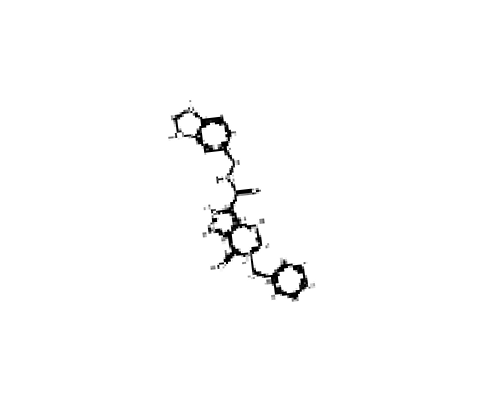 O=C(NCc1ccc2c(c1)OCO2)c1snc2c(=O)n(Cc3ccccc3)cnc12